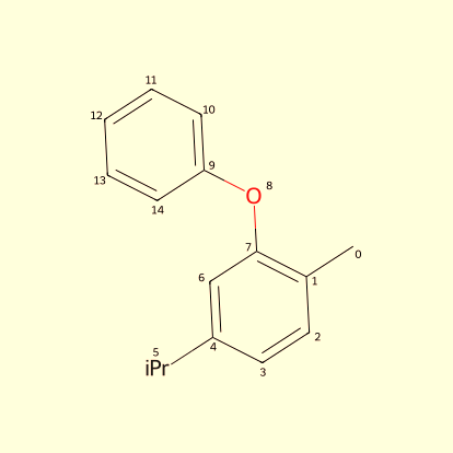 Cc1ccc(C(C)C)cc1Oc1ccccc1